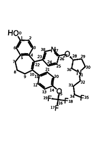 Oc1ccc2c(c1)CCCC(c1ccc(OC(F)(F)F)cc1)=C2c1ccc(O[C@H]2CCN(CCCF)C2)nc1